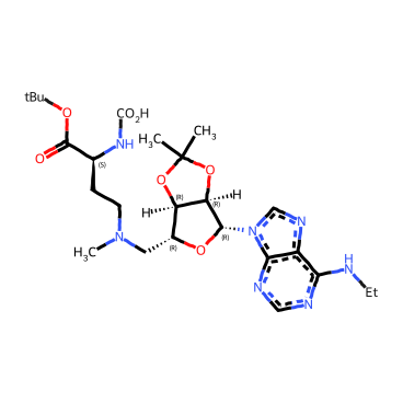 CCNc1ncnc2c1ncn2[C@@H]1O[C@H](CN(C)CC[C@H](NC(=O)O)C(=O)OC(C)(C)C)[C@H]2OC(C)(C)O[C@H]21